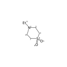 CCN1[CH]CS(=O)(=O)CC1